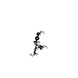 Cn1cc(C(=O)N[C@@H](CCCCCC(N)=O)c2ncc(-c3ccc(-c4ccn(C)n4)cc3)[nH]2)cn1